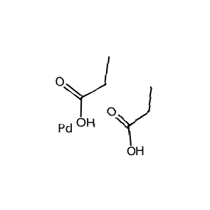 CCC(=O)O.CCC(=O)O.[Pd]